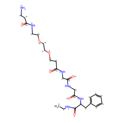 CCNC(=O)C(Cc1ccccc1)NC(=O)CNC(=O)CNC(=O)CCOCCOCCNC(=O)CCN